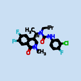 CC(C)CN(C(=O)Nc1ccc(F)c(Cl)c1)[C@@H](C)c1cn(C)c(=O)c2cc(F)c(F)cc12